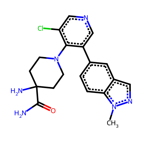 Cn1ncc2cc(-c3cncc(Cl)c3N3CCC(N)(C(N)=O)CC3)ccc21